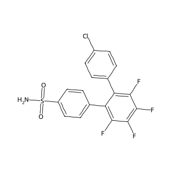 NS(=O)(=O)c1ccc(-c2c(F)c(F)c(F)c(F)c2-c2ccc(Cl)cc2)cc1